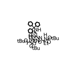 CC[C@H](NC(=O)OC(C)(C)C)c1nc([C@H](CC(=O)NC(c2ccccc2)(c2ccccc2)c2ccccc2)NC(=O)N[C@H](C(=O)OC(C)(C)C)C(C)OC(C)(C)C)no1